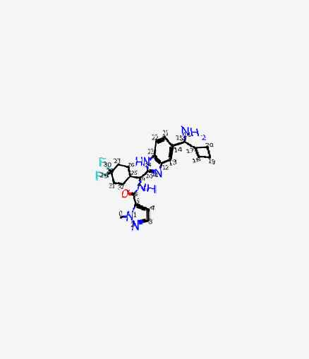 Cn1nccc1C(=O)NC(c1nc2cc(C(N)C3CCC3)ccc2[nH]1)C1CCC(F)(F)CC1